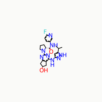 CC(C)c1cc(Nc2nc(N3CCC[C@@H]3C(=O)Nc3ccc(F)nc3)nc3c2C[C@@H](O)C3)n[nH]1